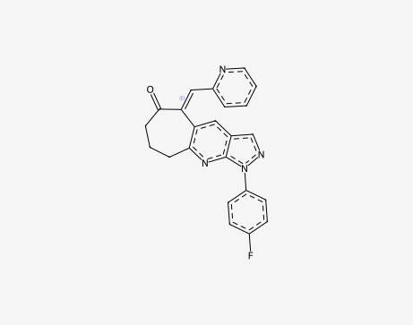 O=C1CCCc2nc3c(cnn3-c3ccc(F)cc3)cc2/C1=C\c1ccccn1